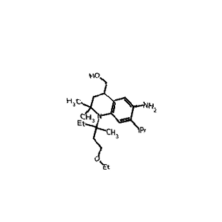 CCOCCC(C)(CC)N1c2cc(C(C)C)c(N)cc2C(CO)CC1(C)C